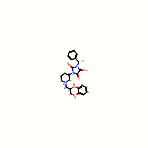 C[C@@H](c1ccccc1)N1C(=O)C(=O)N(C2CCCN(CC3COc4ccccc4O3)C2)C1=O